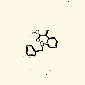 C=C(C(=O)OC)c1ccccc1OCc1ccccc1